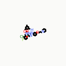 Cc1cc(C)c(OC(=O)N(Cc2c(F)ccc(F)c2Cl)c2ccnc(Nc3cccc(OCCCN4CCCCC4)c3)n2)c(C)c1